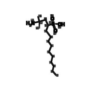 CCCCCCCCCCC(CC(C)(C)N)S(=O)(=O)O